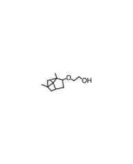 CC12CC3CC(OCCO)C(C)(C1)C32C